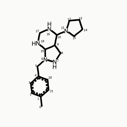 Cc1ccc(CN2NCC3C(N4CCCC4)NCNC32)cc1